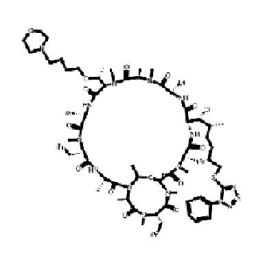 CC[C@@H]1NC(=O)[C@H]([C@H](O)[C@H](C)CCCCSc2nnnn2-c2ccccc2)NC(=O)[C@H](C(C)C)N(C)C(=O)[C@@H]2CC(C)N(C(=O)[C@H](C)NC(=O)[C@H](CC(C)C)N(C)C(=O)[C@H](C(C)C)NC(=O)[C@H]([C@@H](C)OCCCCN3CCOCC3)N(C)C(=O)[C@@H](C)N(C)C1=O)[C@H](C)C(=O)N(C)[C@@H](CC(C)C)C(=O)N2C